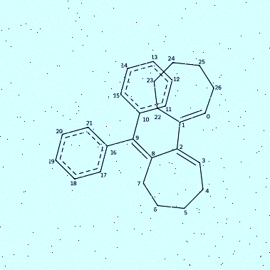 C1=C(C2=CCCCCC2=C(c2ccccc2)c2ccccc2)CCCCC1